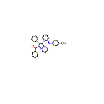 N#Cc1ccc(N=c2ccccn2-c2c(-c3ccccc3)c(C(=O)c3ccccc3)n3ccccc23)cc1